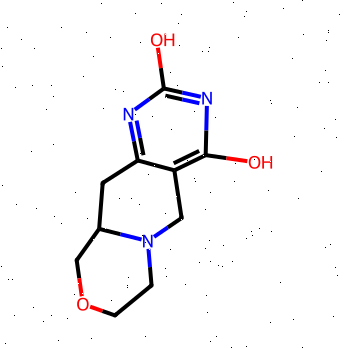 Oc1nc(O)c2c(n1)CC1COCCN1C2